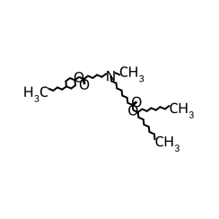 CCCCCCCCC(CCCCCCCC)OC(=O)CCCCCCCN(CCC)CCCCCC(=O)OC1CCC(CCCCC)CC1